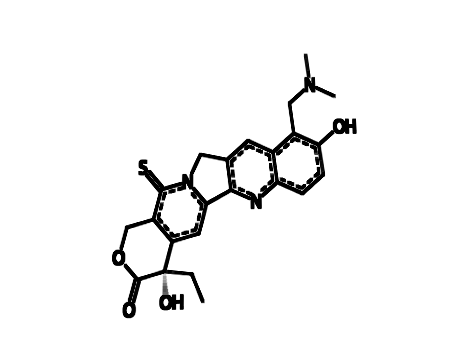 CC[C@@]1(O)C(=O)OCc2c1cc1n(c2=S)Cc2cc3c(CN(C)C)c(O)ccc3nc2-1